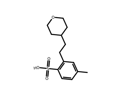 Cc1ccc(S(=O)(=O)O)c(CCC2CCOCC2)c1